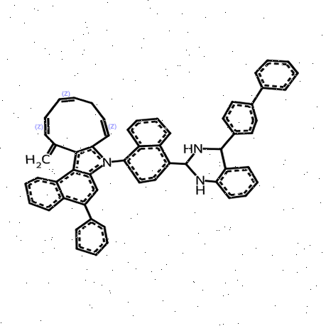 C=C1/C=C\C=C/C/C=C\c2c1c1c3ccccc3c(-c3ccccc3)cc1n2-c1ccc(C2Nc3ccccc3C(c3ccc(-c4ccccc4)cc3)N2)c2ccccc12